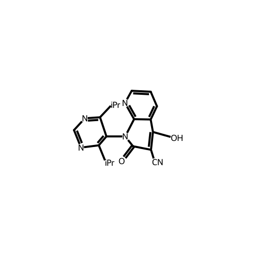 CC(C)c1ncnc(C(C)C)c1-n1c(=O)c(C#N)c(O)c2cccnc21